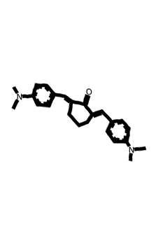 CN(C)c1ccc(C=C2CCCC(=Cc3ccc(N(C)C)cc3)C2=O)cc1